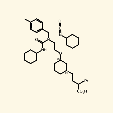 Cc1ccc(CN(CCO[C@@H]2CCC[C@H](CCC(C(=O)O)C(C)C)C2)C(=O)NC2CCCCC2)cc1.O=C=NC1CCCCC1